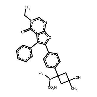 CC1(O)CC(c2ccc(-c3oc4ncn(CC(F)(F)F)c(=O)c4c3-c3ccccc3)cc2)(N(C(=O)O)C(C)(C)C)C1